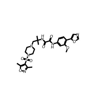 COc1cc(NC(=O)C(=O)NC(C)(C)CN2CCN(S(=O)(=O)c3c(C)noc3C)CC2)ccc1-c1cnco1